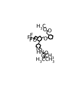 CCOC(=O)Cc1ccccc1OCc1cc(-c2ccnc(CNC(=O)OC(C)(C)C)c2)c2oc(C(F)(F)F)cc2c1